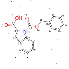 O=C(O)c1cc2ccccc2n1C(=O)OCc1ccccc1